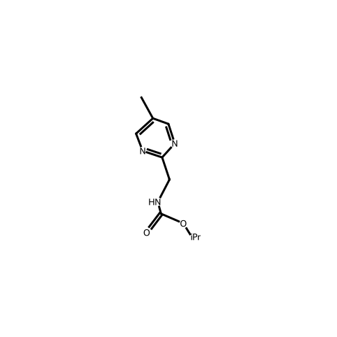 Cc1cnc(CNC(=O)OC(C)C)nc1